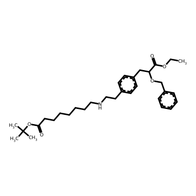 CCOC(=O)C(Cc1ccc(CCNCCCCCCCC(=O)OC(C)(C)C)cc1)OCc1ccccc1